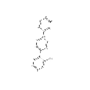 Oc1ccccc1-c1ccc(-c2ccccc2)cc1